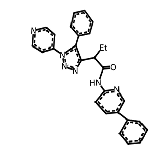 CCC(C(=O)Nc1ccc(-c2ccccc2)cn1)c1nnn(-c2ccncc2)c1-c1ccccc1